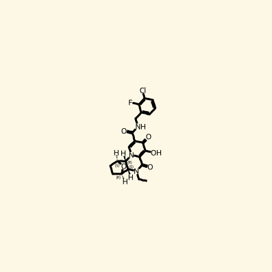 CCN1C(=O)c2c(O)c(=O)c(C(=O)NCc3cccc(Cl)c3F)cn2[C@@H]2[C@H]1[C@H]1CC[C@@H]2O1